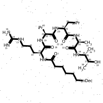 CCCCCCCCCCCCCCCC(=O)N[C@@H](CCCNC(=N)N)C(=O)N[C@H](C(=O)N[C@@H](CC(C)C)C(=O)N[C@@H](C)C(=O)N[C@H](C)[C@@H](C)O)C(C)C